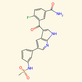 CS(=O)(=O)Nc1cccc(-c2cnc3[nH]cc(C(=O)c4cc(C(N)=O)ccc4F)c3c2)c1